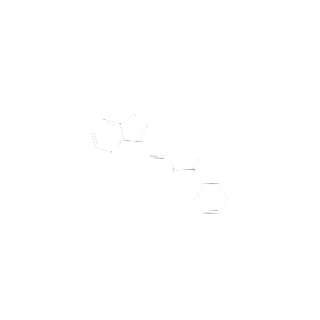 O=C(NN=Cc1c[nH]c2ccccc12)c1ccccc1